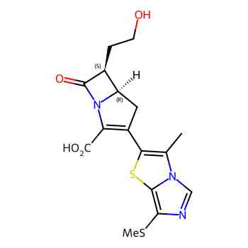 CSc1ncn2c(C)c(C3=C(C(=O)O)N4C(=O)[C@@H](CCO)[C@H]4C3)sc12